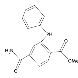 COC(=O)c1ccc(C(N)=O)cc1Pc1ccccc1